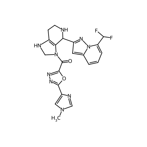 Cn1cnc(-c2nnc(C(=O)N3CNC4=C3C(c3cc5cccc(C(F)F)n5n3)NCC4)o2)c1